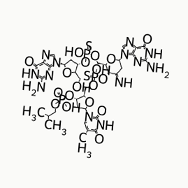 Cc1cn([C@H]2C[C@H](OP(=O)(O)OCC(C)C)[C@@H](COP(O)(=S)O[C@H]3C(=N)CC(n4cnc5c(=O)[nH]c(N)nc54)O[C@@H]3COP(O)(=S)O[C@H]3C[C@H](n4cnc5c(=O)[nH]c(N)nc54)OC3CO)O2)c(=O)[nH]c1=O